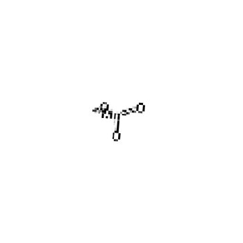 [O]=[99Mo](=[O])=[O]